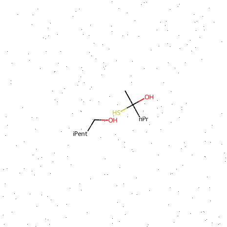 CCCC(C)(O)S.CCCC(C)CO